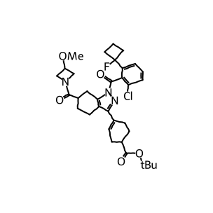 COC1CN(C(=O)C2CCc3c(C4=CCC(C(=O)OC(C)(C)C)CC4)nn(C(=O)c4c(Cl)cccc4C4(F)CCC4)c3C2)C1